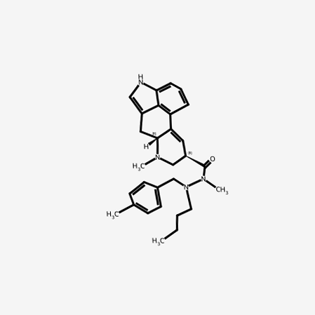 CCCCN(Cc1ccc(C)cc1)N(C)C(=O)[C@@H]1C=C2c3cccc4[nH]cc(c34)C[C@H]2N(C)C1